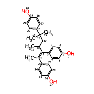 CC(=C(c1ccc(O)cc1)C(C)CC(C)(C)c1ccc(O)cc1)c1ccc(O)cc1